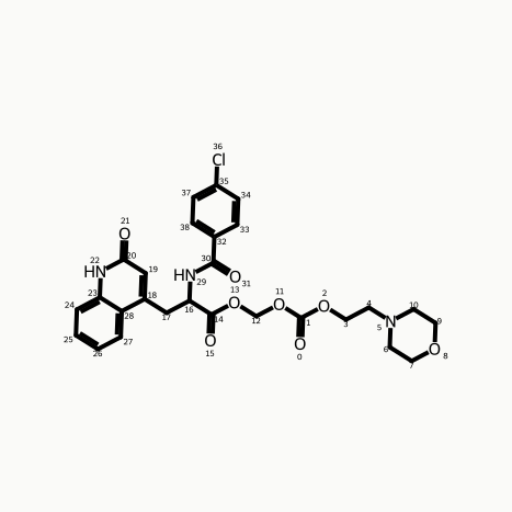 O=C(OCCN1CCOCC1)OCOC(=O)C(Cc1cc(=O)[nH]c2ccccc12)NC(=O)c1ccc(Cl)cc1